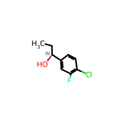 CC[C@H](O)c1ccc(Cl)c(F)c1